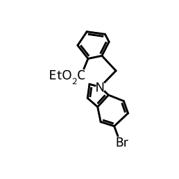 CCOC(=O)c1ccccc1Cn1ccc2cc(Br)ccc21